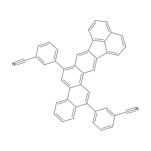 N#Cc1cccc(-c2cc3c4cc5c(cc4c(-c4cccc(C#N)c4)cc3c3ccccc23)-c2cccc3cccc-5c23)c1